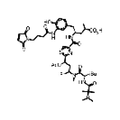 CC[C@H](C)[C@H](NC(=O)C(C)(C)N(C)C)C(=O)N(C)C(C[C@@H](OC(C)=O)c1nc(C(=O)N[C@@H](Cc2ccc(O)c(NC(=O)CCCN3C(=O)C=CC3=O)c2)CC(C)C(=O)O)cs1)C(C)C